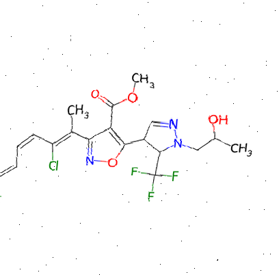 COC(=O)c1c(/C(C)=C(Cl)/C=C\C=C\F)noc1C1C=NN(CC(C)O)C1C(F)(F)F